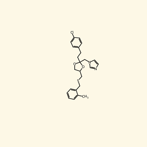 Cc1ccccc1CSCC1COC(CCc2ccc(Cl)cc2)(Cn2ccnc2)O1